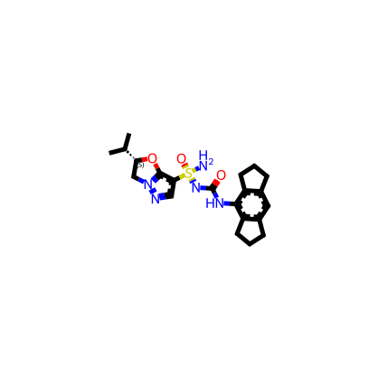 CC(C)[C@H]1Cn2ncc(S(N)(=O)=NC(=O)Nc3c4c(cc5c3CCC5)CCC4)c2O1